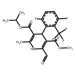 COC(=O)C1=C(C=O)NC(C)=C(C(=O)OC(C)C)C1c1c(F)ccc(F)c1C(F)(F)F